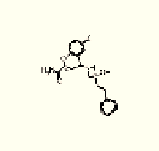 NC(=O)[C@@H]1CC(NC[C@H](O)[CH]Cc2ccccc2)c2cc(Cl)ccc2O1